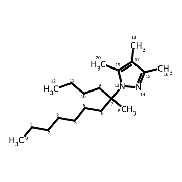 CCCCCCCC(C)(CCCC)n1nc(C)c(C)c1C